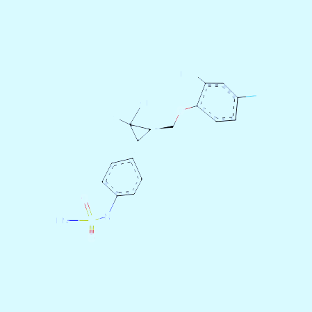 Cc1cc(F)ccc1OC[C@H]1[C@H](c2ccc(NS(N)(=O)=O)cc2)C1(C)C